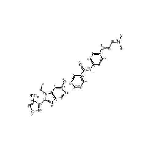 CCn1c(-c2nonc2N)nc2cnc(Oc3cccc(C(=O)Nc4ccc(OCCN(C)C)cc4)c3)cc21